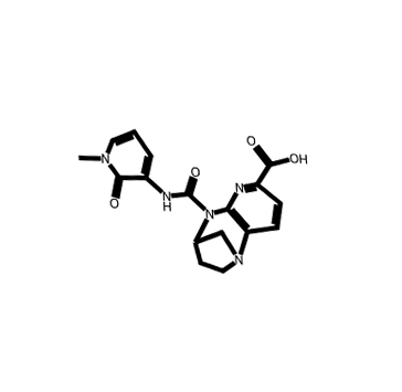 Cn1cccc(NC(=O)N2c3nc(C(=O)O)ccc3N3CCC2C3)c1=O